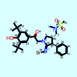 CN(C[C@H]1CN(CC(=O)c2cc(C(C)(C)C)c(O)c(C(C)(C)C)c2)/C(=N\Br)[C@@H]1c1ccccc1)S(C)(=O)=O